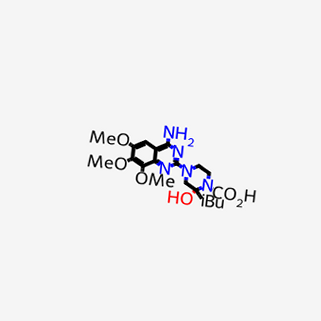 CCC(C)C1(O)CN(c2nc(N)c3cc(OC)c(OC)c(OC)c3n2)CCN1C(=O)O